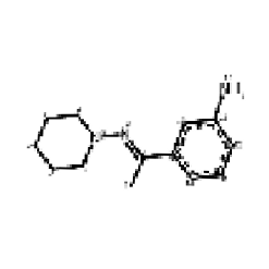 C/C(=N\N1CCCCC1)c1cccc(N)c1